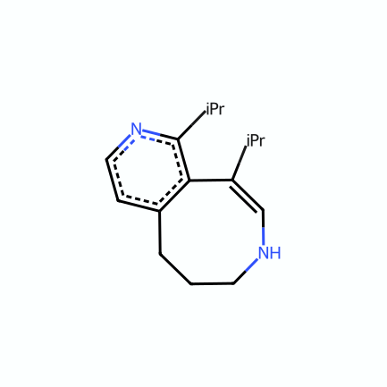 CC(C)/C1=C/NCCCc2ccnc(C(C)C)c21